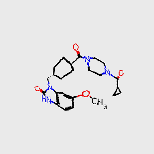 COc1ccc2[nH]c(=O)n(C[C@H]3CC[C@H](C(=O)N4CCN(C(=O)C5CC5)CC4)CC3)c2c1